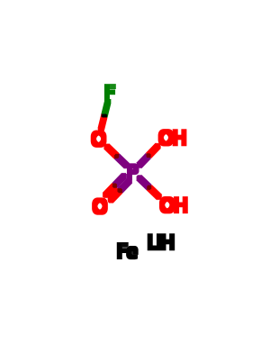 O=P(O)(O)OF.[Fe].[LiH]